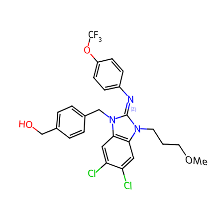 COCCCn1/c(=N/c2ccc(OC(F)(F)F)cc2)n(Cc2ccc(CO)cc2)c2cc(Cl)c(Cl)cc21